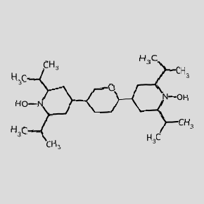 CC(C)C1CC(C2CCC(C3CC(C(C)C)N(O)C(C(C)C)C3)OC2)CC(C(C)C)N1O